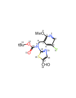 COc1ncc(F)cc1CN(C(=O)OC(C)(C)C)c1ncc(C=O)s1